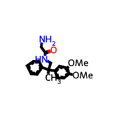 COc1ccc(C(C)(CNC(=O)CN)c2ccccc2)cc1OC